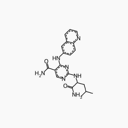 CC(C)CC(Nc1ncc(C(N)=O)c(Nc2ccc3ncccc3c2)n1)C(N)=O